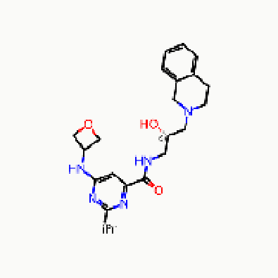 CC(C)c1nc(NC2COC2)cc(C(=O)NC[C@H](O)CN2CCc3ccccc3C2)n1